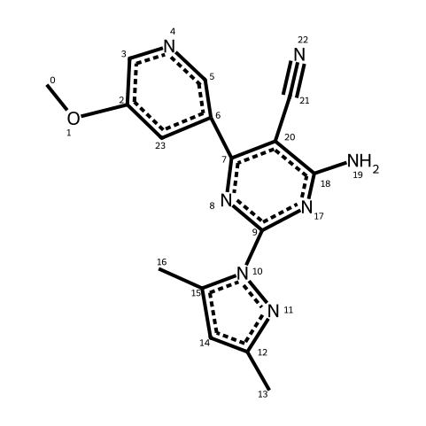 COc1cncc(-c2nc(-n3nc(C)cc3C)nc(N)c2C#N)c1